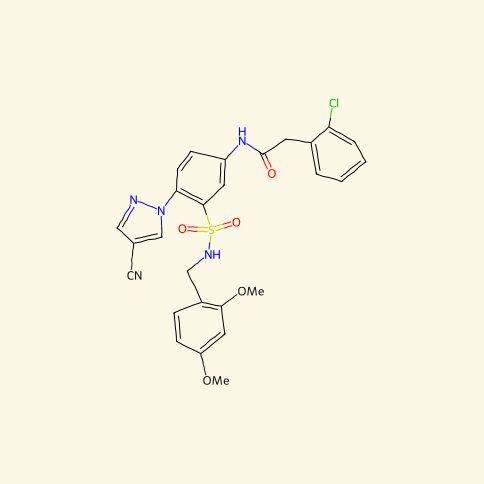 COc1ccc(CNS(=O)(=O)c2cc(NC(=O)Cc3ccccc3Cl)ccc2-n2cc(C#N)cn2)c(OC)c1